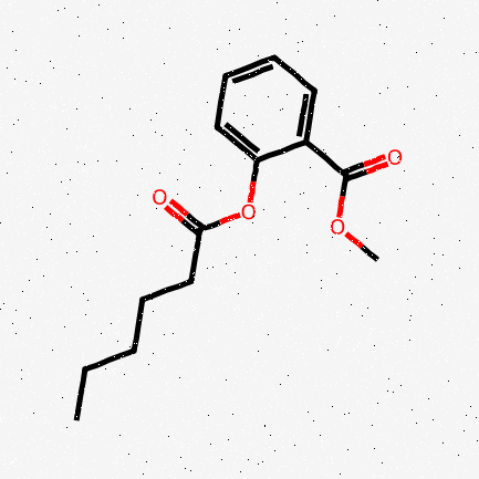 CCCCCC(=O)Oc1ccccc1C(=O)OC